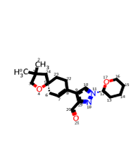 CC1(C)CO[C@@]2(CC=C(c3cn([C@H]4CCCCO4)nc3C=O)CC2)C1